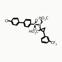 O=C(O)CN(C1(C(=O)O)CC1c1cccc(C(F)(F)F)c1)S(=O)(=O)c1ccc(-c2ccc(Cl)cc2)cc1